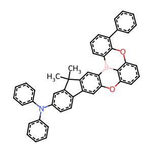 CC1(C)c2cc(N(c3ccccc3)c3ccccc3)ccc2-c2cc3c(cc21)B1c2cccc(-c4ccccc4)c2Oc2cccc(c21)O3